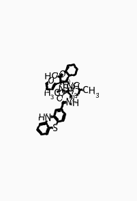 CC(C)C[C@H](NC(=O)c1ccc2c(c1)Nc1ccccc1S2)C(=O)N[C@@H](C1C=CCCC1)[C@@](C(=O)O)(c1ccco1)N(C)C